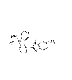 Cc1ccc2nc(-c3cccc4c3-c3ccccc3[C@H]4C(N)=O)[nH]c2c1